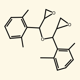 Cc1cccc(C)c1C(OC(c1c(C)cccc1C)C1CO1)C1CO1